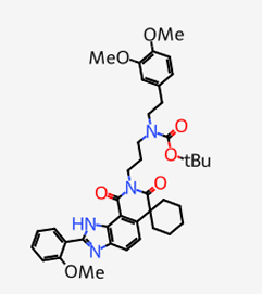 COc1ccc(CCN(CCCN2C(=O)c3c(ccc4nc(-c5ccccc5OC)[nH]c34)C3(CCCCC3)C2=O)C(=O)OC(C)(C)C)cc1OC